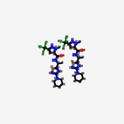 CC(NC(=O)c1cc(C(F)(F)F)nn1C)c1nc(N2CCCCC2)ns1.CC(NC(=O)c1cc(C(F)(F)F)nn1C)c1nc(N2CCCCC2)ns1